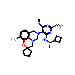 C=Nc1nc(C(=O)O)nc(N[C@H](C)C2CCC2)c1N(Cc1ccc(C(F)(F)F)cc1)CN1CCOC2(CCCC2)C1